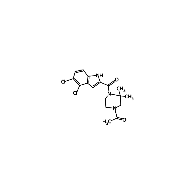 CC(=O)N1CCN(C(=O)c2cc3c(Cl)c(Cl)ccc3[nH]2)C(C)(C)C1